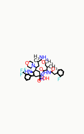 CCC(C)C(NC(=O)Cc1ccccc1F)C(=O)N[C@@]1(C(=O)O)Cc2c([nH]c3c(C(F)(F)F)cccc23)C(C(CC(C)C(N)=O)N2CCOCC2)C1